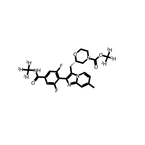 [2H]C([2H])([2H])NC(=O)c1cc(F)c(-c2nc3cc(C)ccn3c2C[C@H]2CN(C(=O)OC([2H])([2H])[2H])CCO2)c(F)c1